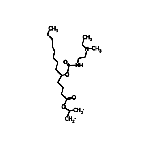 [CH2]C([CH2])OC(=O)CCCC(CCCCCCCC)OC(=O)NCCN(C)CC